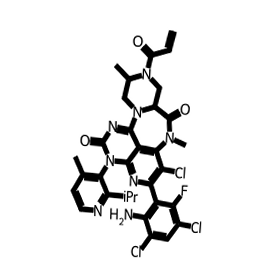 C=CC(=O)N1CC2C(=O)N(C)c3c(Cl)c(-c4c(N)c(Cl)cc(Cl)c4F)nc4c3c(nc(=O)n4-c3c(C)ccnc3C(C)C)N2CC1C